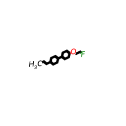 CCCC1CCC(C2CCC(OCCF)CC2)CC1